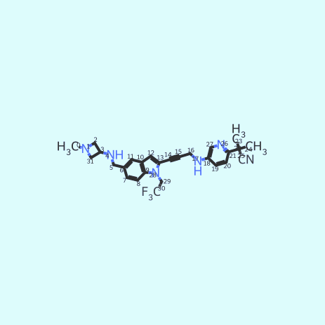 CN1CC(NCc2ccc3c(c2)cc(C#CCNc2ccc(C(C)(C)C#N)nc2)n3CC(F)(F)F)C1